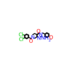 COc1ccc(Cn2c(N)nc3c(c2=O)CCN(C(=O)c2ccc(Cl)c(Cl)c2)C3)cc1